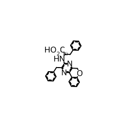 O=C(O)[C@H](Cc1ccccc1)Nc1nc2c(nc1Cc1ccccc1)-c1ccccc1OC2